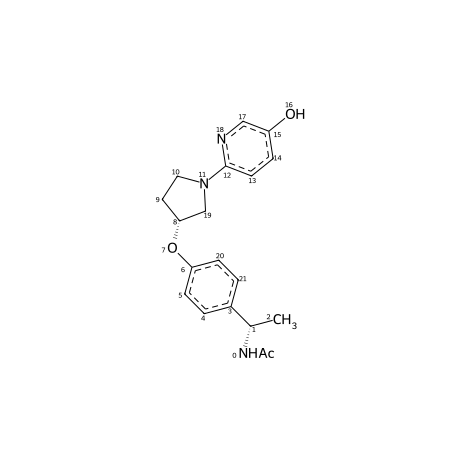 CC(=O)N[C@@H](C)c1ccc(O[C@@H]2CCN(c3ccc(O)cn3)C2)cc1